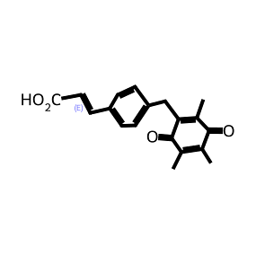 CC1=C(C)C(=O)C(Cc2ccc(/C=C/C(=O)O)cc2)=C(C)C1=O